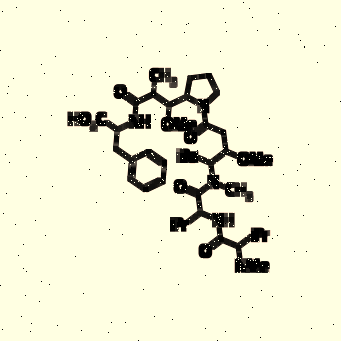 CCC(C)C(C(CC(=O)N1CCCC1C(OC)C(C)C(=O)NC(Cc1ccccc1)C(=O)O)OC)N(C)C(=O)C(NC(=O)C(NC)C(C)C)C(C)C